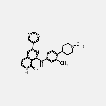 Cc1cc(Nc2nc(-c3cncnc3)cc3cc[nH]c(=O)c23)ccc1C1CCN(C)CC1